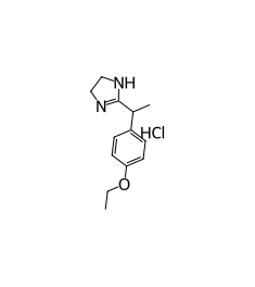 CCOc1ccc(C(C)C2=NCCN2)cc1.Cl